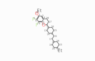 CCOc1cc2c(c(F)c1F)OC(C1CCC(CCC3CCC(CC)CC3)CC1)CC2